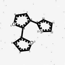 c1coc(-c2occc2-c2cccs2)c1